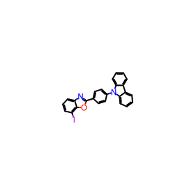 Ic1cccc2nc(-c3ccc(-n4c5ccccc5c5ccccc54)cc3)oc12